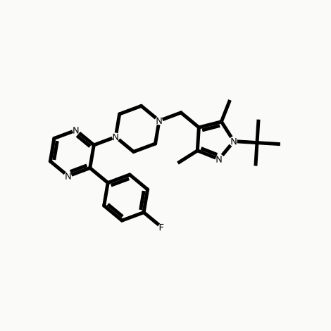 Cc1nn(C(C)(C)C)c(C)c1CN1CCN(c2nccnc2-c2ccc(F)cc2)CC1